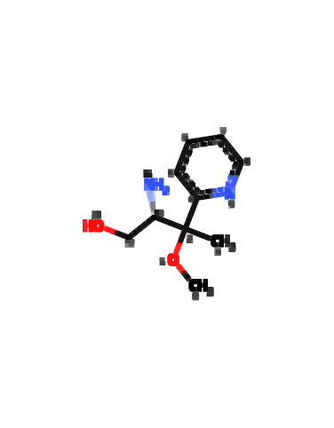 COC(C)(c1ccccn1)[C@@H](N)CO